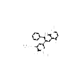 COc1cc(-c2cc3c(=O)cc[nH]c3nc2-c2ccccc2)cn(C(C)C)c1=O